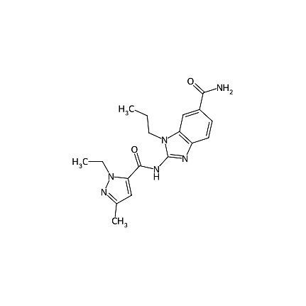 CCCn1c(NC(=O)c2cc(C)nn2CC)nc2ccc(C(N)=O)cc21